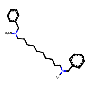 CN(CCCCCCCCCCN(C)Cc1ccccc1)Cc1ccccc1